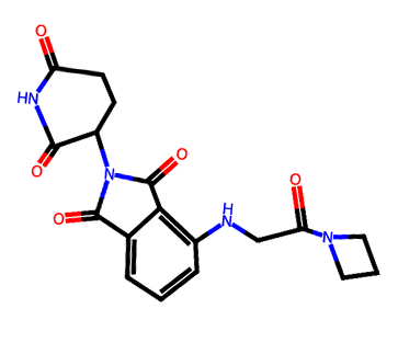 O=C1CCC(N2C(=O)c3cccc(NCC(=O)N4CCC4)c3C2=O)C(=O)N1